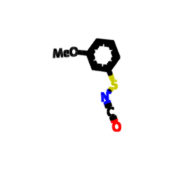 COc1cccc(SN=C=O)c1